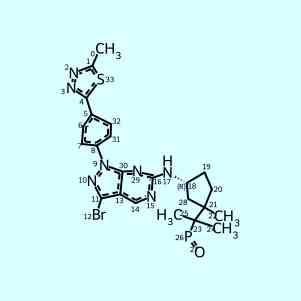 Cc1nnc(-c2[c]cc(-n3nc(Br)c4cnc(N[C@@H]5CCC(C)(C(C)(C)P=O)C5)nc43)cc2)s1